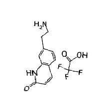 NCCc1ccc2ccc(=O)[nH]c2c1.O=C(O)C(F)(F)F